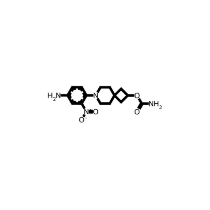 NC(=O)OC1CC2(CCN(c3ccc(N)cc3[N+](=O)[O-])CC2)C1